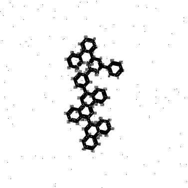 c1ccc(-c2cc(-c3ccccc3-c3cccnc3)nc(-c3cccc(-c4cc5c6ccccc6c(-c6cc7ccccc7c7ccccc67)cc5c5ccccc45)c3)n2)cc1